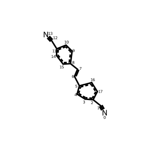 N#Cc1ccc(C=Cc2ccc(C#N)cc2)cc1